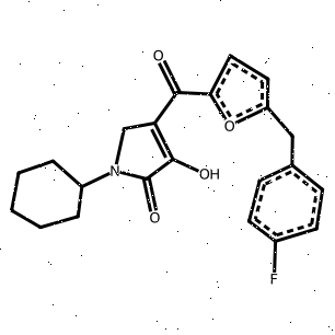 O=C(C1=C(O)C(=O)N(C2CCCCC2)C1)c1ccc(Cc2ccc(F)cc2)o1